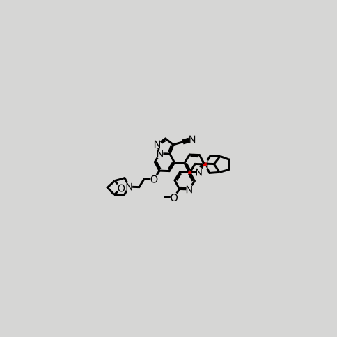 COc1ccc(CN2CC3CCC(C2)C3c2ccc(-c3cc(OCCN4CC5CC(C4)O5)cn4ncc(C#N)c34)cn2)cn1